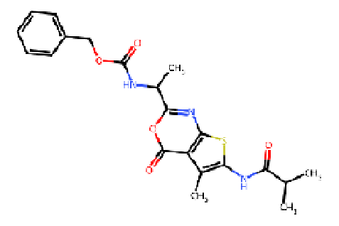 Cc1c(NC(=O)C(C)C)sc2nc(C(C)NC(=O)OCc3ccccc3)oc(=O)c12